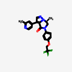 Cc1cc(-c2cnn3c2C(=O)N(c2ccc(OCC(F)(F)F)cc2)C[C@@H]3C)ccn1